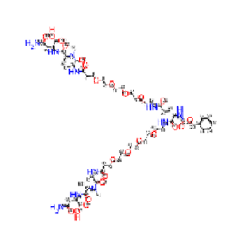 C[C@H](NC(=O)CCOCCOCCOCCOCCNC(=O)CC[C@H](NC(=O)OCc1ccccc1)C(=O)NCCOCCOCCOCCOCCC(=O)N[C@@H](C)C(=O)N(C)[C@@H](C)C(=O)N[C@@H](CC(N)=O)C(=O)O)C(=O)N(C)[C@@H](C)C(=O)N[C@@H](CC(N)=O)C(=O)O